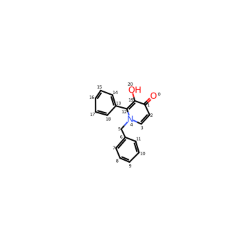 O=c1ccn(Cc2ccccc2)c(-c2ccccc2)c1O